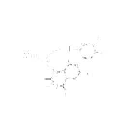 CO[C@@H]1CCSc2c(-c3cc(Cl)c(F)cc3F)c(C)cc3c(=O)[nH]c(=O)n(c23)C1